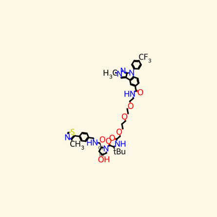 Cc1ncsc1-c1ccc(CNC(=O)[C@@H]2C[C@@H](O)CN2C(=O)C(NC(=O)COCCCOCCOCCNC(=O)c2ccc3c(c2)c2cn(C)nc2n3-c2ccc(C(F)(F)F)cc2)C(C)(C)C)cc1